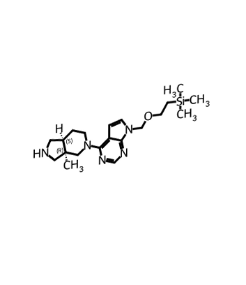 C[C@]12CNC[C@H]1CCN(c1ncnc3c1ccn3COCC[Si](C)(C)C)C2